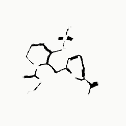 C=C(C)c1cccc(CC2C(NS(=O)(=O)CCC)CCCN2C(=O)OC(C)C)n1